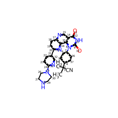 CC(C)(C#N)c1ccc(-n2c(=O)[nH]c(=O)c3cnc4ccc(-c5ccc(N6CCNCC6)nc5)nc4c32)cc1